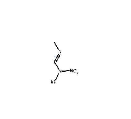 CCN(/C=N/C)[N+](=O)[O-]